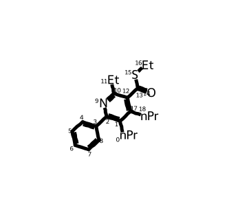 CCCc1c(-c2ccccc2)nc(CC)c(C(=O)SCC)c1CCC